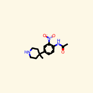 CC(=O)Nc1ccc(C2(C)CCNCC2)cc1[N+](=O)[O-]